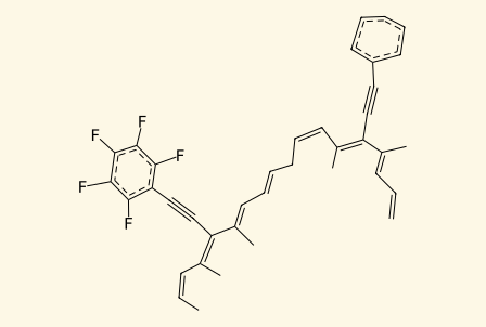 C=C/C=C(C)/C(C#Cc1ccccc1)=C(C)/C=C\C/C=C/C=C(C)/C(C#Cc1c(F)c(F)c(F)c(F)c1F)=C(C)/C=C\C